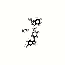 CC(=O)N1C[C@@H](CCN2CC=C(c3c[nH]c4cc(Cl)ccc34)CC2)c2ccccc21.Cl